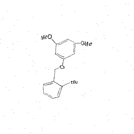 COc1cc(OC)cc(OCc2ccccc2C(C)(C)C)c1